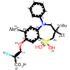 CCCCC1(CC)CN(c2ccccc2)c2cc(SC)c(O/C=C(\F)C(=O)O)cc2S(O)(O)C1